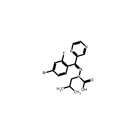 CC(C)CN(N=C(c1cnccn1)c1ccc(Br)cc1F)C(=O)O